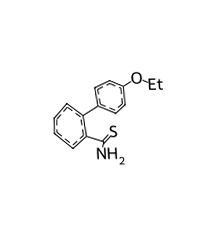 CCOc1ccc(-c2ccccc2C(N)=S)cc1